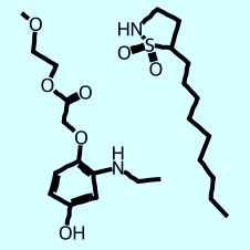 CCCCCCCCCC1CCNS1(=O)=O.CCNc1cc(O)ccc1OCC(=O)OCCOC